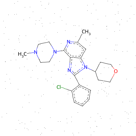 Cc1cc2c(nc(-c3ccccc3Cl)n2C2CCOCC2)c(N2CCN(C)CC2)n1